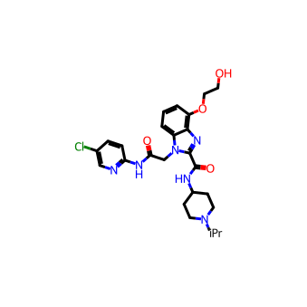 CC(C)N1CCC(NC(=O)c2nc3c(OCCO)cccc3n2CC(=O)Nc2ccc(Cl)cn2)CC1